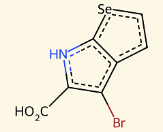 O=C(O)c1[nH]c2[se]ccc2c1Br